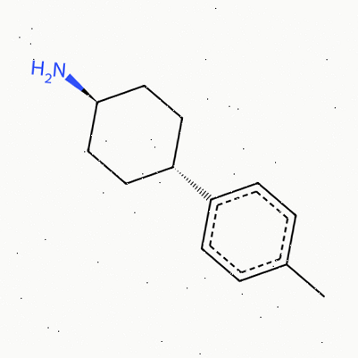 Cc1ccc([C@H]2CC[C@H](N)CC2)cc1